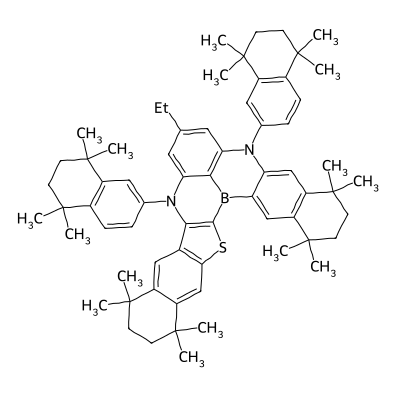 CCc1cc2c3c(c1)N(c1ccc4c(c1)C(C)(C)CCC4(C)C)c1c(sc4cc5c(cc14)C(C)(C)CCC5(C)C)B3c1cc3c(cc1N2c1ccc2c(c1)C(C)(C)CCC2(C)C)C(C)(C)CCC3(C)C